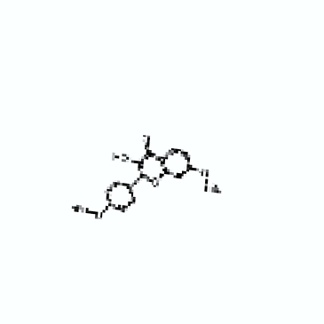 CCCCOc1ccc(-c2oc3cc(OCCCC)ccc3c(=O)c2O)cc1